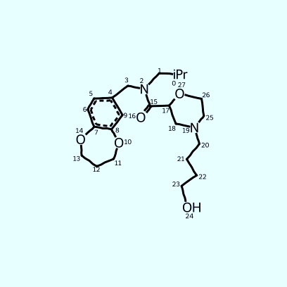 CC(C)CN(Cc1ccc2c(c1)OCCCO2)C(=O)C1CN(CCCCO)CCO1